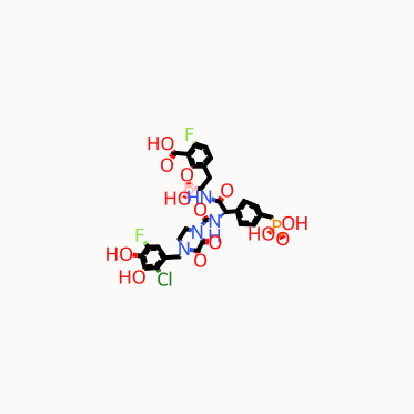 O=C(O)c1c(F)ccc2c1OB(O)[C@@H](NC(=O)[C@H](NC(=O)N1CCN(Cc3cc(F)c(O)c(O)c3Cl)C(=O)C1=O)c1ccc(CP(=O)(O)O)cc1)C2